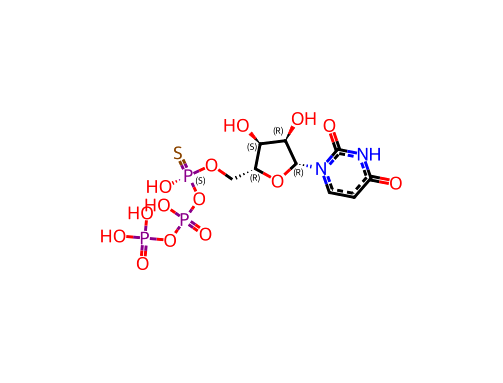 O=c1ccn([C@@H]2O[C@H](CO[P@](O)(=S)OP(=O)(O)OP(=O)(O)O)[C@@H](O)[C@H]2O)c(=O)[nH]1